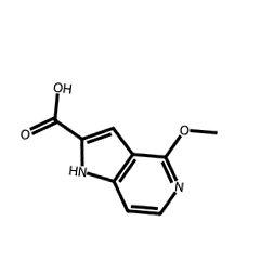 COc1nccc2[nH]c(C(=O)O)cc12